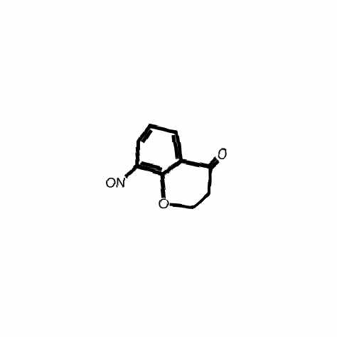 O=Nc1cccc2c1OCCC2=O